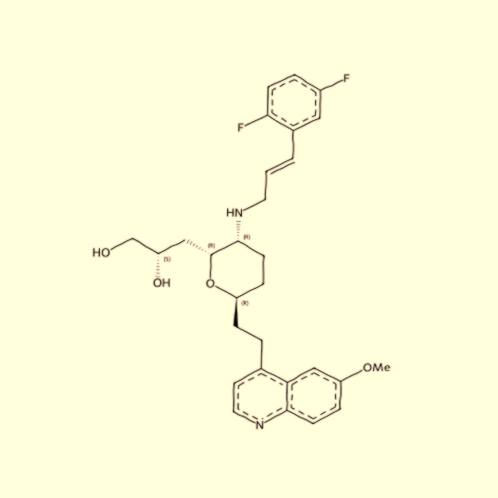 COc1ccc2nccc(CC[C@@H]3CC[C@@H](NCC=Cc4cc(F)ccc4F)[C@@H](C[C@H](O)CO)O3)c2c1